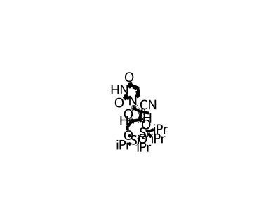 CC(C)[Si]1(C(C)C)OC[C@H]2O[C@@H](n3ccc(=O)[nH]c3=O)[C@](C)(C#N)[C@@H]2O[Si](C(C)C)(C(C)C)O1